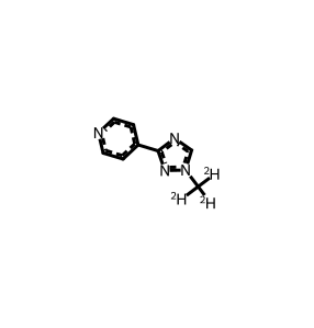 [2H]C([2H])([2H])n1cnc(-c2ccncc2)n1